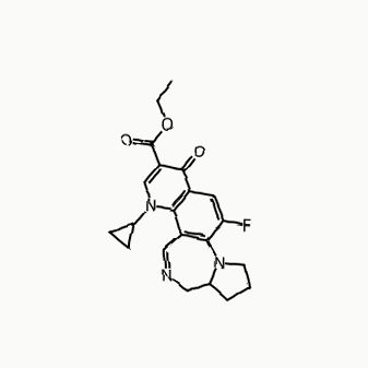 CCOC(=O)c1cn(C2CC2)c2c3c(c(F)cc2c1=O)N1CCCC1CN=C3